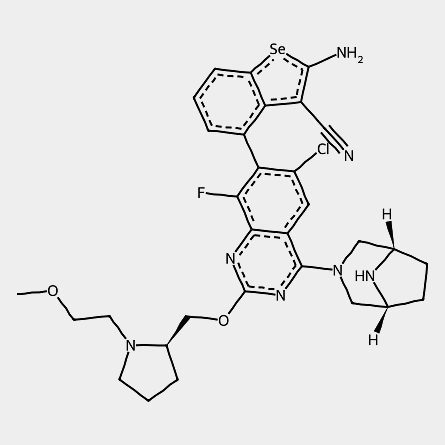 COCCN1CCC[C@@H]1COc1nc(N2C[C@H]3CC[C@@H](C2)N3)c2cc(Cl)c(-c3cccc4[se]c(N)c(C#N)c34)c(F)c2n1